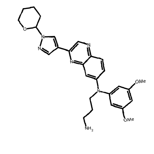 COc1cc(OC)cc(N(CCCN)c2ccc3ncc(-c4cnn(C5CCCCO5)c4)nc3c2)c1